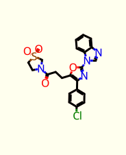 O=C(CCc1oc(-n2cnc3ccccc32)nc1-c1ccc(Cl)cc1)N1CCS(=O)(=O)C1